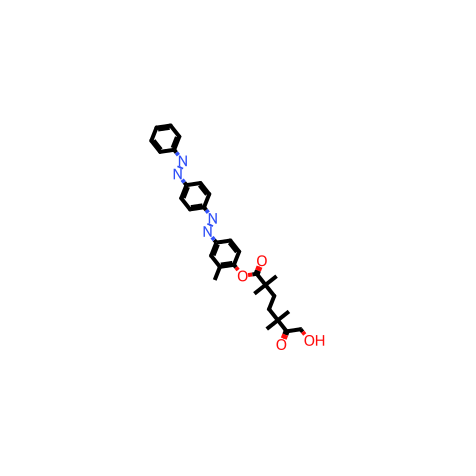 Cc1cc(/N=N/c2ccc(/N=N/c3ccccc3)cc2)ccc1OC(=O)C(C)(C)CCC(C)(C)C(=O)CO